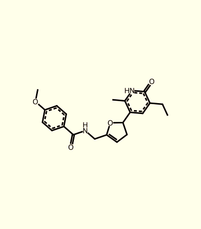 CCc1cc(C2CC=C(CNC(=O)c3ccc(OC)cc3)O2)c(C)[nH]c1=O